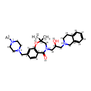 CC(=O)N1CCN(Cc2ccc3c(c2)OC(C)(C)CN(CC(O)CN2CCc4ccccc4C2)C3=O)CC1